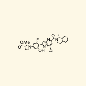 COC(=O)[C@H]1CCN(c2cc(O)c(-c3cc4nc(C(=O)N5CCc6ccccc6[C@H]5C)cc(C5CC5)n4n3)c(F)c2)C1